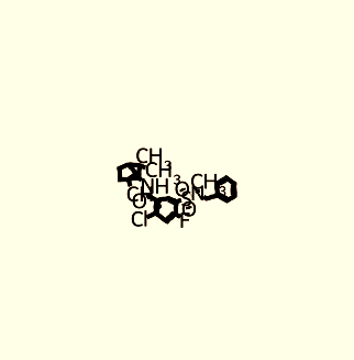 CN(Cc1ccccc1)S(=O)(=O)c1cc(C(=O)NC2C3(C)CCC(C3)C2(C)C)c(Cl)cc1F